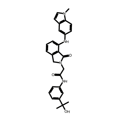 Cn1ccc2cc(Nc3cccc4c3C(=O)N(CC(=O)Nc3cccc(C(C)(C)O)c3)C4)ccc21